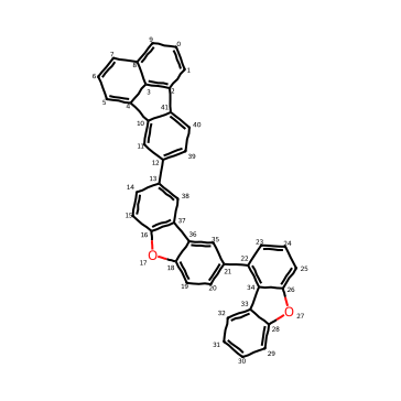 c1cc2c3c(cccc3c1)-c1cc(-c3ccc4oc5ccc(-c6cccc7oc8ccccc8c67)cc5c4c3)ccc1-2